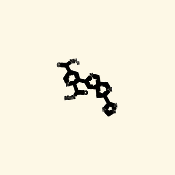 CNC(=O)c1ncc(C(N)=O)cc1-c1cc2cc(-c3nncs3)ncc2cn1